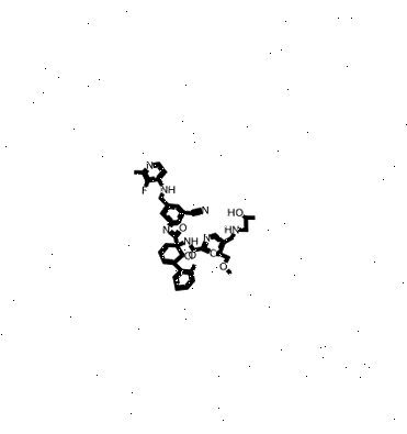 COCc1cc(C(=O)NC2(c3nc4cc(CNc5ccnc(C)c5F)cc(C#N)c4o3)C=CC=C(c3ccccc3C)C2Cl)ncc1CNCC(C)O